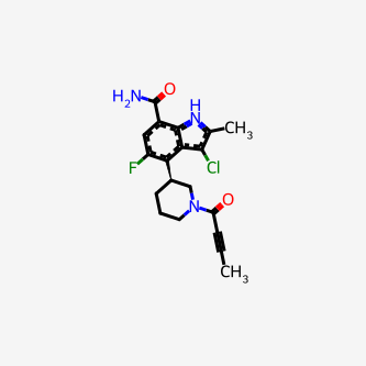 CC#CC(=O)N1CCC[C@@H](c2c(F)cc(C(N)=O)c3[nH]c(C)c(Cl)c23)C1